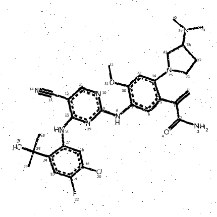 C=C(C(N)=O)c1cc(Nc2ncc(C#N)c(Nc3cc(Cl)c(F)cc3C(C)(C)O)n2)c(OC)cc1N1CCC(N(C)C)C1